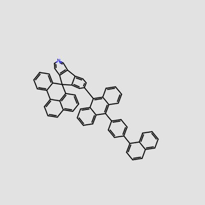 c1ccc2c(c1)-c1cccc3cccc(c13)C21c2ccncc2-c2ccc(-c3c4ccccc4c(-c4ccc(-c5cccc6ccccc56)cc4)c4ccccc34)cc21